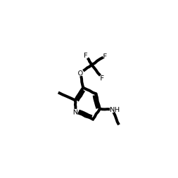 CNc1cnc(C)c(OC(F)(F)F)c1